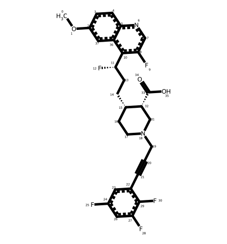 COc1ccc2ncc(F)c([C@@H](F)CC[C@H]3CCN(CC#Cc4cc(F)cc(F)c4F)C[C@H]3C(=O)O)c2c1